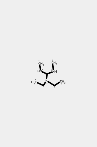 CCN(CC)C(NC)NC